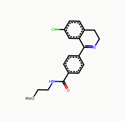 COCCNC(=O)c1ccc(C2=NCCc3ccc(Cl)cc32)cc1